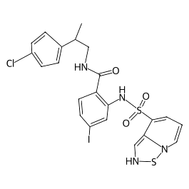 CC(CNC(=O)c1ccc(I)cc1NS(=O)(=O)C1=CC=CN2SNC=C12)c1ccc(Cl)cc1